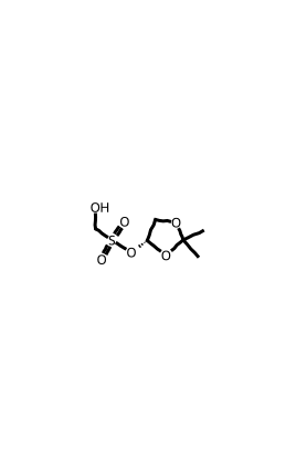 CC1(C)OC[C@@H](OS(=O)(=O)CO)O1